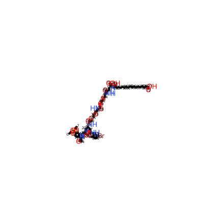 CCOP(=O)(OCC)c1ccc2c(C(C)=O)nn(CC(=O)N3[C@H](C)[C@@H](CNC(=O)COCCOCCNC(=O)COCCOCCNC(=O)CC[C@H](NC(=O)CCCCCCCCCCCCCCCCC(=O)O)C(=O)O)C[C@H]3C(=O)Nc3nc(Br)ccc3C)c2c1